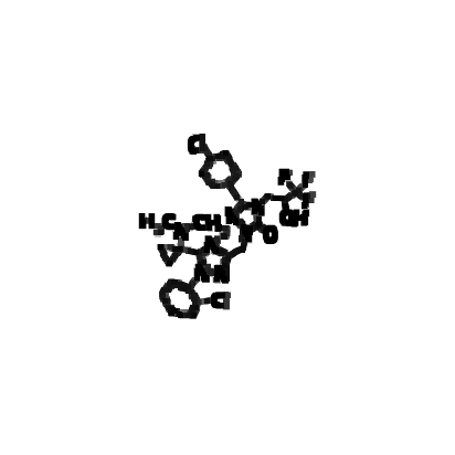 CN(C)C1(c2nc(Cn3nc(-c4ccc(Cl)cc4)n(C[C@H](O)C(F)(F)F)c3=O)nn2-c2ccccc2Cl)CC1